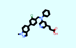 Cn1ncc2cc(-c3ccc(CN(c4ccccc4)c4cncc(/C=C/C(=O)O)c4)c(Cl)c3)ccc21